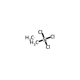 C[Si](Cl)(Cl)Cl.[CH3]